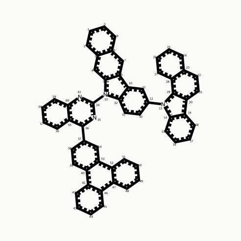 c1ccc2cc3c(cc2c1)c1cc(-n2c4ccccc4c4ccc5ccccc5c42)ccc1n3-c1nc(-c2ccc3c4ccccc4c4ccccc4c3c2)c2ccccc2n1